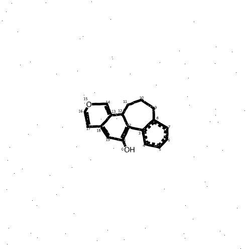 OC1=C2c3ccccc3CCCC2C2=COC=CC2=C1